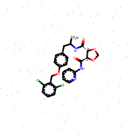 O=C(O)C(Cc1ccc(OCc2c(Cl)cccc2Cl)cc1)NC(=O)[C@@H]1OCO[C@H]1C(=O)Nc1ccccn1